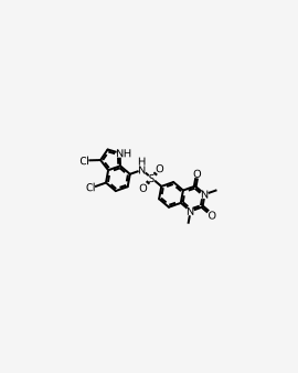 Cn1c(=O)c2cc(S(=O)(=O)Nc3ccc(Cl)c4c(Cl)c[nH]c34)ccc2n(C)c1=O